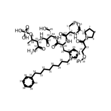 CC(C)C[C@H](NC(=O)[C@@H]1CCCN1C(=O)CCOC(C)C)C(=O)N[C@@H](Cc1cncn1CCCCCCCCc1ccccc1)C(=O)N[C@@H](CO)C(=O)N[C@H](C(N)=O)[C@@H](C)OP(=O)(O)O